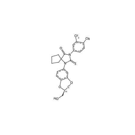 N#Cc1ccc(N2C(=O)C3(CCCC3)N(c3ccc4c(c3)OC[C@@H](CO)O4)C2=S)cc1C(F)(F)F